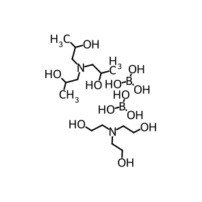 CC(O)CN(CC(C)O)CC(C)O.OB(O)O.OB(O)O.OCCN(CCO)CCO